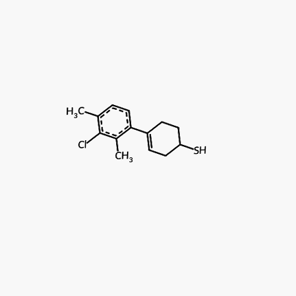 Cc1ccc(C2=CCC(S)CC2)c(C)c1Cl